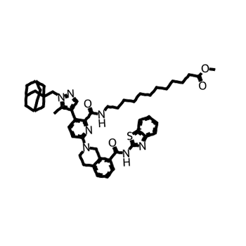 COC(=O)CCCCCCCCCCCNC(=O)c1nc(N2CCc3cccc(C(=O)Nc4nc5ccccc5s4)c3C2)ccc1-c1cnn(CC23CC4CC(CC(C4)C2)C3)c1C